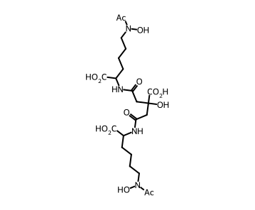 CC(=O)N(O)CCCCC(NC(=O)CC(O)(CC(=O)NC(CCCCN(O)C(C)=O)C(=O)O)C(=O)O)C(=O)O